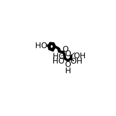 O=C(/C=C/c1ccc(O)cc1)[C@@]1(O)O[C@H](CO)[C@@H](O)[C@H](O)[C@H]1O